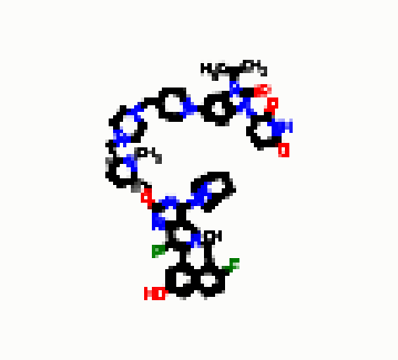 C#Cc1c(F)ccc2cc(O)cc(-c3ncc4c(N5CC6CCC(C5)N6)nc(OC[C@@H]5CC[C@@H](CN6CCN(CC7CCN(c8ccc9c(c8)n(C(C)C)c(=O)n9C8CCC(=O)NC8=O)CC7)CC6)N5C)nc4c3F)c12